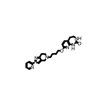 O=C1NCCc2ccc(OCCCCN3CCc4nn(-c5ccccn5)cc4C3)nc2N1